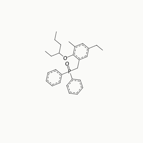 CCCC(CC)Oc1c(C)cc(CC)cc1CP(=O)(c1ccccc1)c1ccccc1